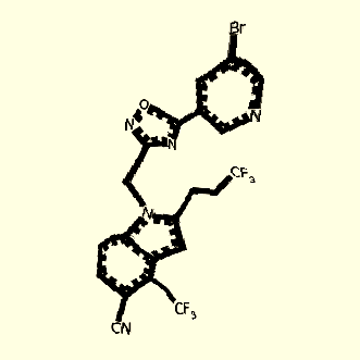 N#Cc1ccc2c(cc(CCC(F)(F)F)n2Cc2noc(-c3cncc(Br)c3)n2)c1C(F)(F)F